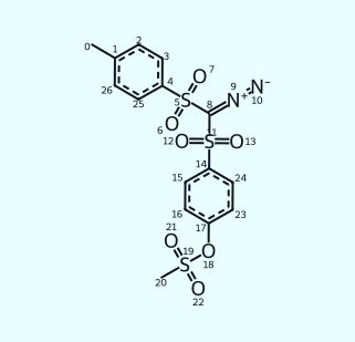 Cc1ccc(S(=O)(=O)C(=[N+]=[N-])S(=O)(=O)c2ccc(OS(C)(=O)=O)cc2)cc1